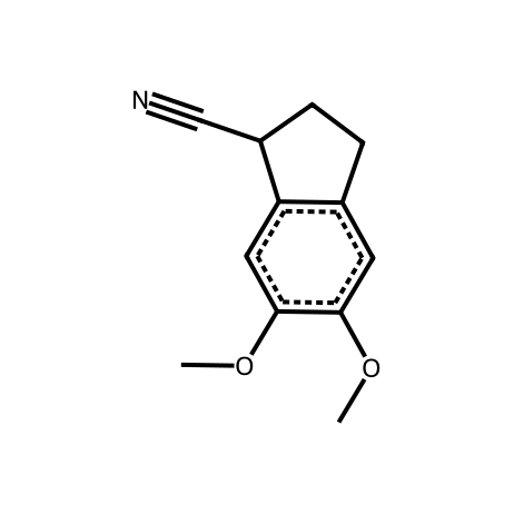 COc1cc2c(cc1OC)C(C#N)CC2